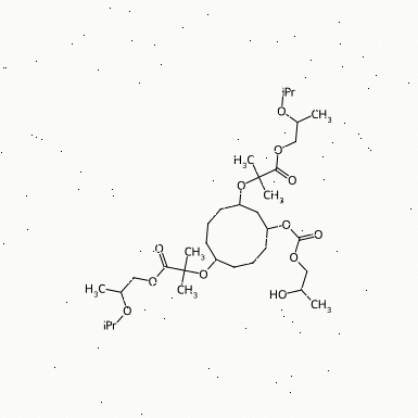 CC(O)COC(=O)OC1CCCC(OC(C)(C)C(=O)OCC(C)OC(C)C)CCCC(OC(C)(C)C(=O)OCC(C)OC(C)C)C1